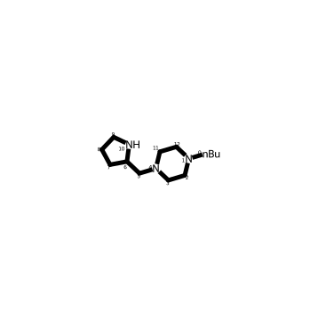 CCCCN1CCN(CC2CCCN2)CC1